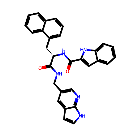 O=C(N[C@@H](Cc1cccc2ccccc12)C(=O)NCc1cnc2[nH]ccc2c1)c1cc2ccccc2[nH]1